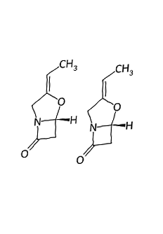 CC=C1CN2C(=O)C[C@H]2O1.CC=C1CN2C(=O)C[C@H]2O1